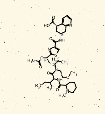 CCC(C)C(NC(=O)C1CCCCN1C)C(=O)N(CCOC)[C@H](C[C@@H](OC(C)=O)c1nc(C(=O)N[C@H]2Cc3ncccc3[C@H](C(=O)O)C2)cs1)C(C)C